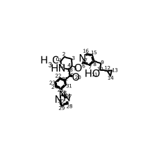 C[C@@H]1CC[C@@H](Oc2cc(CC(O)C3CC3)ccn2)C(C(=O)c2cccc(-n3nccn3)c2)N1